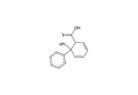 CCCC1(c2ccccc2)C=CC=CC1C(O)=S